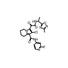 Cc1noc(C(C)NC(=O)C(=O)c2c(Cl)c(C(=O)Nc3ccnc(F)c3)c3n2CCCC3)n1